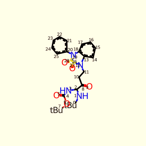 CC(C)(C)NC(NC(=O)OC(C)(C)C)C(=O)CCN1c2ccccc2N(c2ccccc2)S1(=O)=O